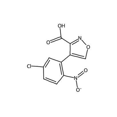 O=C(O)c1nocc1-c1cc(Cl)ccc1[N+](=O)[O-]